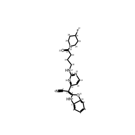 N#C/C(=C1\Nc2ccccc2O1)c1ccnc(NCCCC(=O)N2CCC(F)CC2)n1